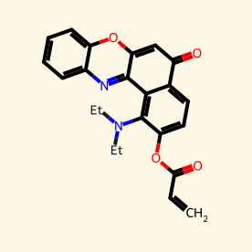 C=CC(=O)Oc1ccc2c(=O)cc3oc4ccccc4nc-3c2c1N(CC)CC